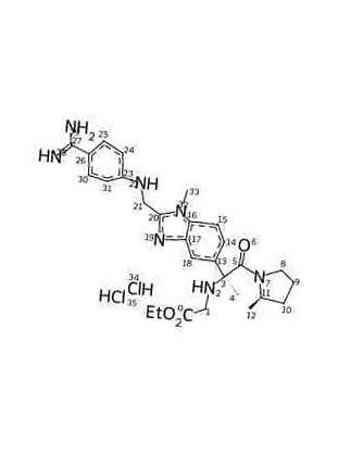 CCOC(=O)CN[C@](C)(C(=O)N1CCC[C@H]1C)c1ccc2c(c1)nc(CNc1ccc(C(=N)N)cc1)n2C.Cl.Cl